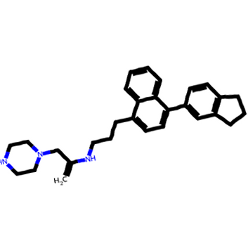 C=C(CN1CCNCC1)NCCCc1ccc(-c2ccc3c(c2)CCC3)c2ccccc12